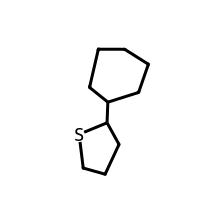 C1CCC(C2CCCS2)CC1